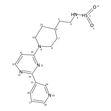 O=[SH](=O)NCCC1CCN(c2ccnc(-c3cccnc3)n2)CC1